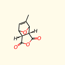 CC1=CC2OC1[C@@H]1C(=O)OC(=O)[C@H]21